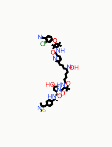 Cc1ncsc1-c1ccc([C@H](C)NC(=O)[C@@H]2C[C@@H](O)CN2C(=O)[C@@H](NC(=O)CCCC/C(CCCc2ccc(C(=O)NC3C(C)(C)C(Oc4ccc(C#N)c(Cl)c4)C3(C)C)nc2)=N\O)C(C)(C)C)cc1